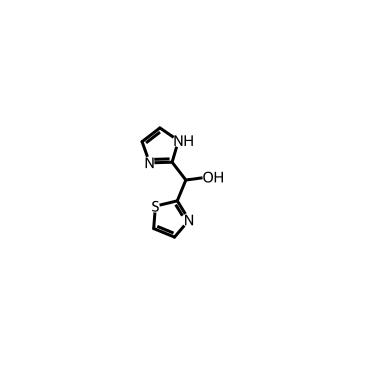 OC(c1ncc[nH]1)c1nccs1